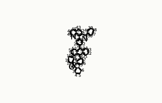 O=P(c1ccccc1)(c1ccccc1)c1cccc(-c2c3ccccc3c(-c3ccc4c(c3)nc(-c3ccccc3)c3ccc5cccnc5c34)c3ccccc23)c1